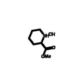 COC(=O)C1CCCCN1.Cl